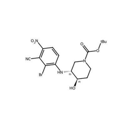 CC(C)(C)OC(=O)N1CC[C@@H](O)[C@H](Nc2ccc([N+](=O)[O-])c(C#N)c2Br)C1